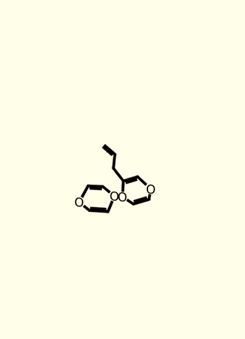 C1=COC=CO1.C=CCC1=COC=CO1